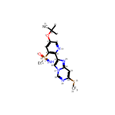 CC[S@](=N)(=O)c1cc(OC(C)(C)C#N)cnc1-c1cn2cnc(SC(F)(F)F)cc2n1